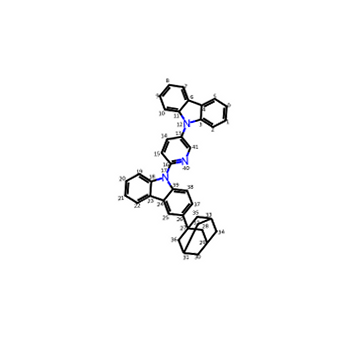 c1ccc2c(c1)c1ccccc1n2-c1ccc(-n2c3ccccc3c3cc(C45CC6CC(CC(C6)C4)C5)ccc32)nc1